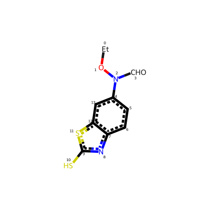 CCON(C=O)c1ccc2nc(S)sc2c1